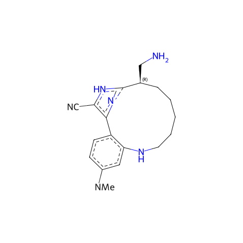 CNc1ccc2c(c1)NCCCCC[C@H](CN)c1nc-2c(C#N)[nH]1